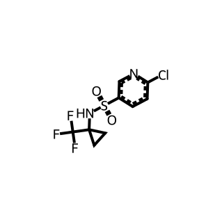 O=S(=O)(NC1(C(F)(F)F)CC1)c1ccc(Cl)nc1